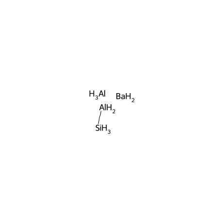 [AlH2][SiH3].[AlH3].[BaH2]